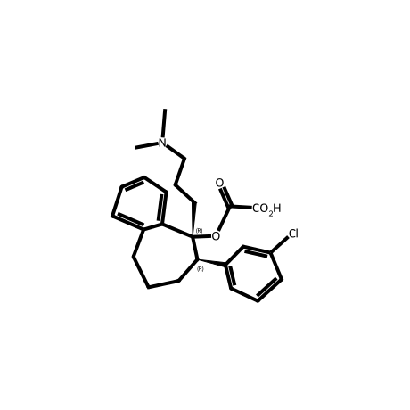 CN(C)CCC[C@]1(OC(=O)C(=O)O)c2ccccc2CCC[C@@H]1c1cccc(Cl)c1